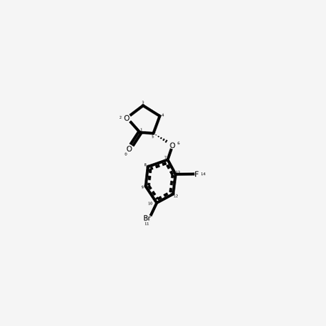 O=C1OCC[C@@H]1Oc1ccc(Br)cc1F